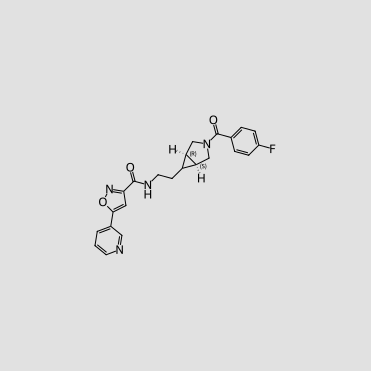 O=C(NCCC1[C@H]2CN(C(=O)c3ccc(F)cc3)C[C@@H]12)c1cc(-c2cccnc2)on1